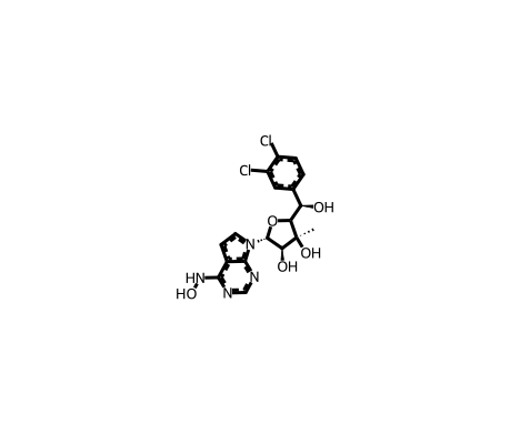 C[C@@]1(O)C([C@H](O)c2ccc(Cl)c(Cl)c2)O[C@@H](n2ccc3c(NO)ncnc32)[C@@H]1O